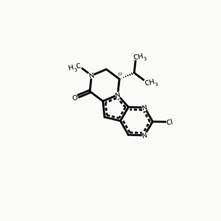 CC(C)[C@H]1CN(C)C(=O)c2cc3cnc(Cl)nc3n21